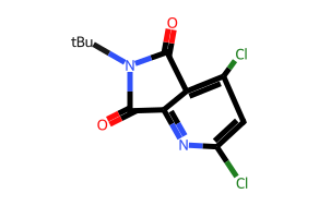 CC(C)(C)N1C(=O)c2nc(Cl)cc(Cl)c2C1=O